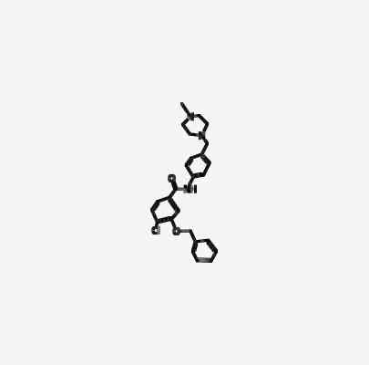 CN1CCN(Cc2ccc(NC(=O)c3ccc(Cl)c(OCc4ccccc4)c3)cc2)CC1